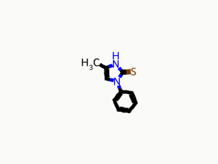 Cc1cn(-c2ccccc2)c(=S)[nH]1